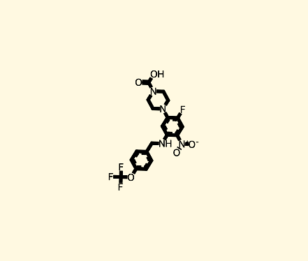 O=C(O)N1CCN(c2cc(NCc3ccc(OC(F)(F)F)cc3)c([N+](=O)[O-])cc2F)CC1